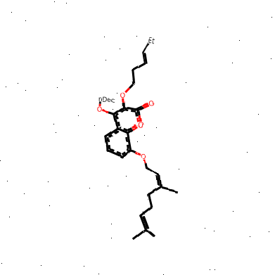 CCC=CCCOc1c(OCCCCCCCCCC)c2cccc(OCC=C(C)CCC=C(C)C)c2oc1=O